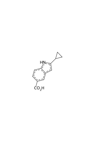 O=C(O)c1ccc2[nH]c(C3CC3)cc2c1